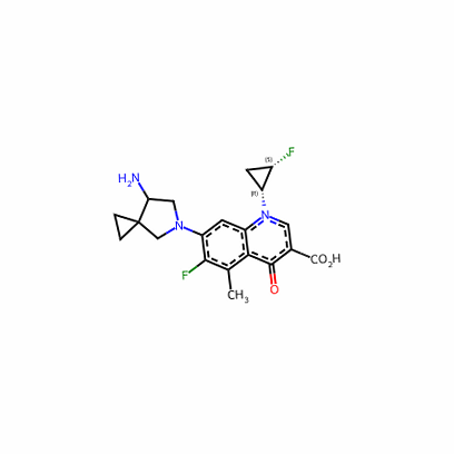 Cc1c(F)c(N2CC(N)C3(CC3)C2)cc2c1c(=O)c(C(=O)O)cn2[C@@H]1C[C@@H]1F